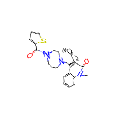 Cn1c(=O)c([N+](=O)[O-])c(N2CCN(C(=O)C3=CCCS3)CC2)c2ccccc21